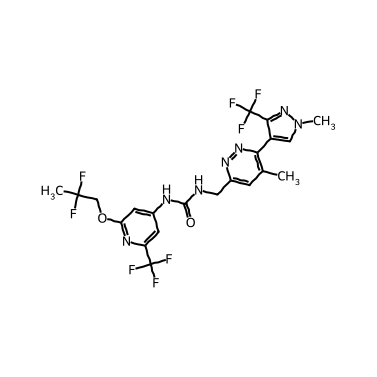 Cc1cc(CNC(=O)Nc2cc(OCC(C)(F)F)nc(C(F)(F)F)c2)nnc1-c1cn(C)nc1C(F)(F)F